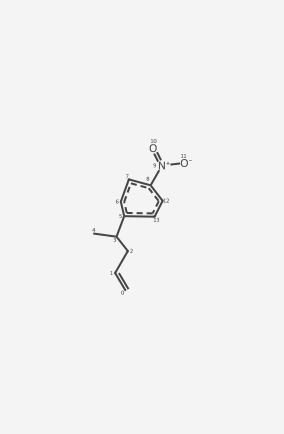 C=CCC(C)c1ccc([N+](=O)[O-])cc1